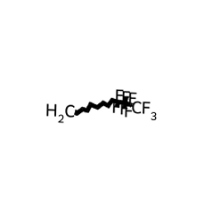 C=CCCCCCCCC(F)(F)C(F)(F)C(F)(F)C(F)(F)F